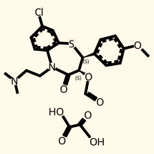 COc1ccc([C@@H]2Sc3cc(Cl)ccc3N(CCN(C)C)C(=O)[C@@H]2OC=O)cc1.O=C(O)C(=O)O